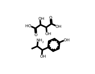 CC(N)C(O)c1ccc(O)cc1.O=C(O)C(O)C(O)C(=O)O